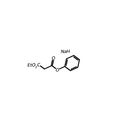 CCOC(=O)CC(=O)Oc1ccccc1.[NaH]